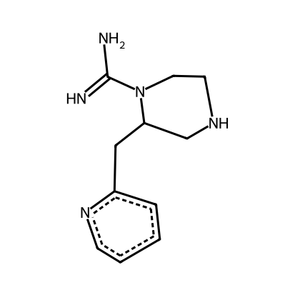 N=C(N)N1CCNCC1Cc1ccccn1